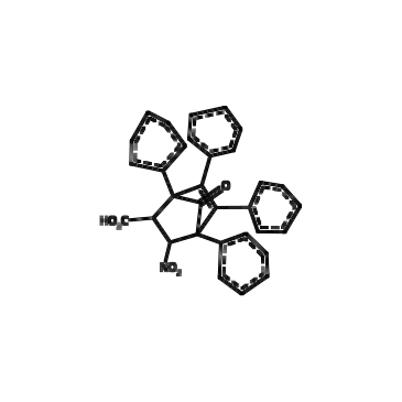 O=C(O)C1C([N+](=O)[O-])C2(c3ccccc3)C(=O)C1(c1ccccc1)C(c1ccccc1)=C2c1ccccc1